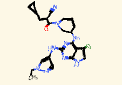 CCn1cc(Nc2nc(NC3CCCN(C(=O)/C(C#N)=C/C4CC4)C3)c3c(Cl)c[nH]c3n2)cn1